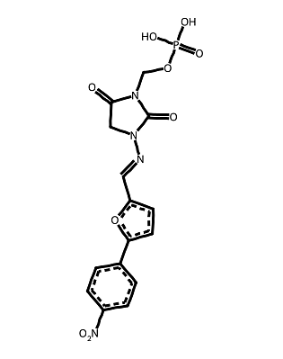 O=C1CN(/N=C/c2ccc(-c3ccc([N+](=O)[O-])cc3)o2)C(=O)N1COP(=O)(O)O